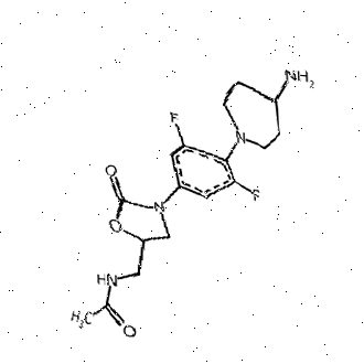 CC(=O)NCC1CN(c2cc(F)c(N3CCC(N)CC3)c(F)c2)C(=O)O1